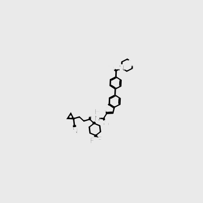 N#CC1(CCC(=O)C2(NC(=O)c3cc4ccc(-c5ccc(C(=O)N6CCOCC6)cc5)cc4o3)CCC(F)(F)CC2)CC1